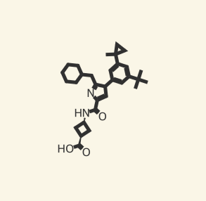 CC(C)(C)c1cc(C2C=C(C(=O)N[C@H]3C[C@H](C(=O)O)C3)N=C2CC2CCCCC2)cc(C2(C)CC2)c1